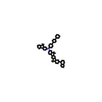 CC1(C)c2ccccc2-c2ccc(N(c3ccc(-c4ccc(-c5ccccc5)cc4)cc3)c3ccc4c(c3)C(C)(C)c3cc5c(cc3-4)C(C)(C)c3ccc(-c4cccc6ccccc46)cc3-5)cc21